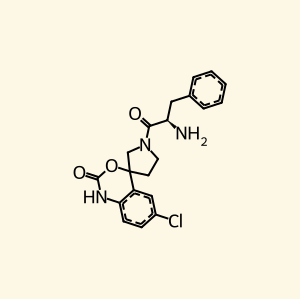 N[C@H](Cc1ccccc1)C(=O)N1CCC2(C1)OC(=O)Nc1ccc(Cl)cc12